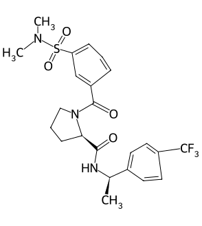 C[C@@H](NC(=O)[C@H]1CCCN1C(=O)c1cccc(S(=O)(=O)N(C)C)c1)c1ccc(C(F)(F)F)cc1